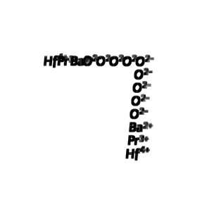 [Ba+2].[Ba+2].[Hf+4].[Hf+4].[O-2].[O-2].[O-2].[O-2].[O-2].[O-2].[O-2].[O-2].[O-2].[Pr+3].[Pr+3]